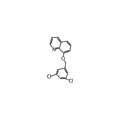 Clc1cc(Cl)cc(COc2cccc3cccnc23)c1